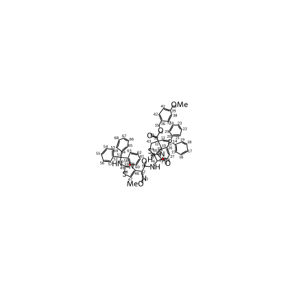 CON=C(C(=O)NC1C(=O)N2CC(C=P(c3ccccc3)(c3ccccc3)c3ccccc3)(C(=O)OCc3ccc(OC)cc3)CS[C@H]12)c1csc(NC(c2ccccc2)(c2ccccc2)c2ccccc2)n1